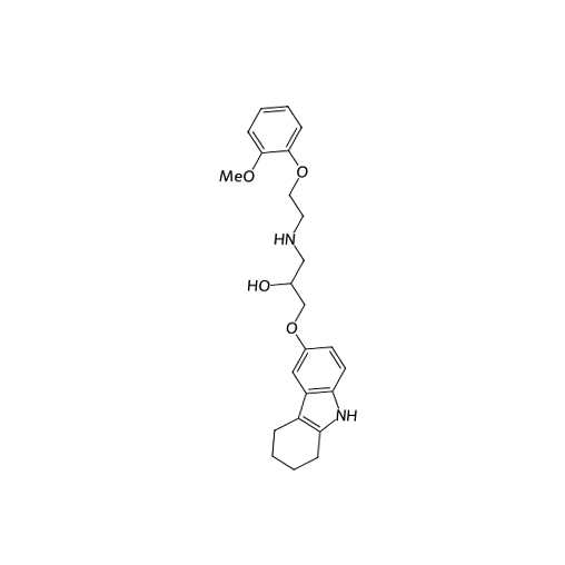 COc1ccccc1OCCNCC(O)COc1ccc2[nH]c3c(c2c1)CCCC3